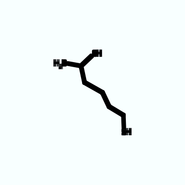 BC(S)CCCCS